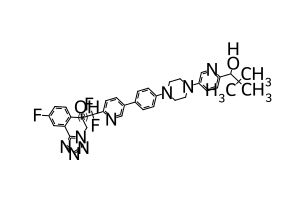 CC(C)(C)C(O)c1ccc(N2CCN(c3ccc(-c4ccc(C(F)(F)[C@]5(O)Cn6nnnc6-c6cc(F)ccc65)nc4)cc3)CC2)cn1